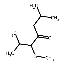 CSC(C(=O)CC(C)C)C(C)C